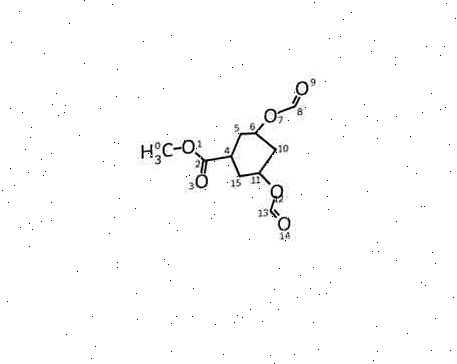 COC(=O)C1CC(OC=O)CC(OC=O)C1